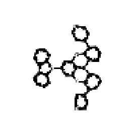 c1cc2c(c(-c3ccncc3)c1)Oc1cc(-n3c4ccccc4c4ccccc43)cc3c1B2c1cccc(-c2ccncc2)c1O3